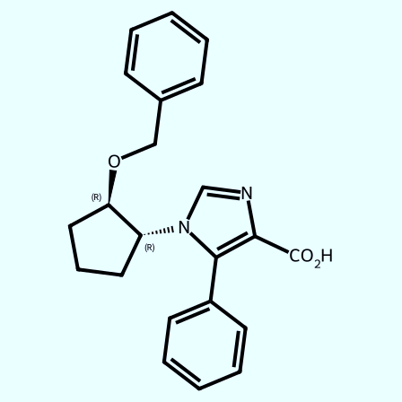 O=C(O)c1ncn([C@@H]2CCC[C@H]2OCc2ccccc2)c1-c1ccccc1